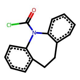 O=C(Cl)N1c2ccccc2CCc2ccccc21